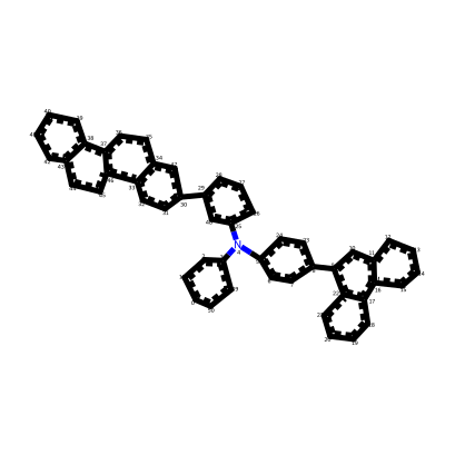 c1ccc(N(c2ccc(-c3cc4ccccc4c4ccccc34)cc2)c2cccc(-c3ccc4c(ccc5c6ccccc6ccc45)c3)c2)cc1